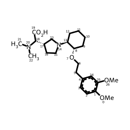 COc1ccc(CCO[C@H]2CCCC[C@@H]2N2CC[C@H](C(C(=O)O)N(C)C)C2)cc1OC